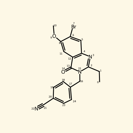 CCc1nc2cc(Br)c(OC)cc2c(=O)n1Cc1ccc(C#N)cc1